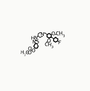 CCOc1cc(CN2CCC(Nc3nc4cc(OC(=O)OC)ccc4s3)CC2)cc(OCC)c1-c1ccc(F)cc1